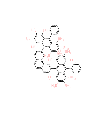 Bc1c(B)c(B)c2c(-c3ccc4ccc5ccc(-c6c7c(B)c(B)c(B)c(B)c7c(-c7ccccc7)c7c(B)c(B)c(B)c(B)c67)cc5c4c3)c3c(B)c(B)c(B)c(B)c3c(-c3ccccc3)c2c1B